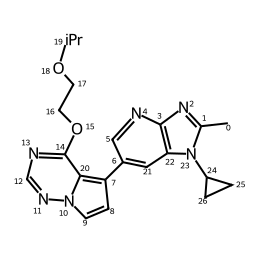 Cc1nc2ncc(-c3ccn4ncnc(OCCOC(C)C)c34)cc2n1C1CC1